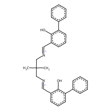 CC(C)(C/N=C/c1cccc(-c2ccccc2)c1O)C/N=C/c1cccc(-c2ccccc2)c1O